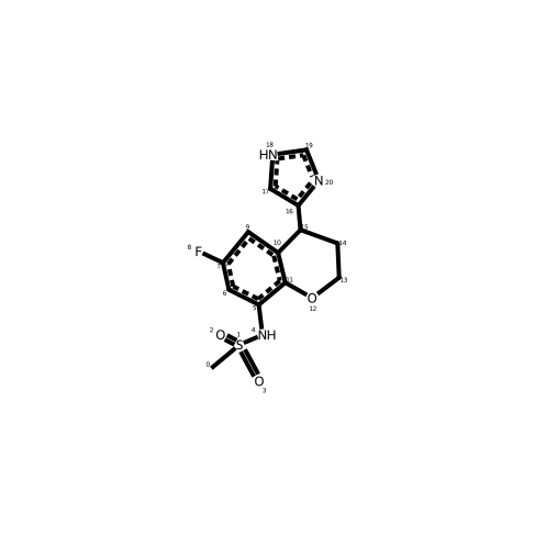 CS(=O)(=O)Nc1cc(F)cc2c1OCCC2c1c[nH]cn1